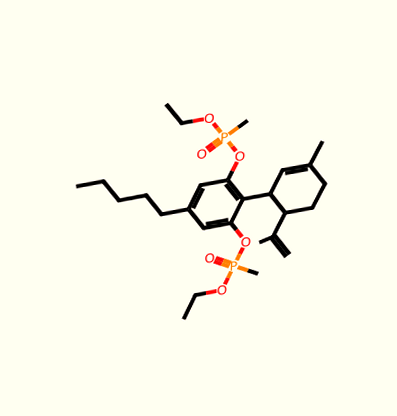 C=C(C)C1CCC(C)=CC1c1c(OP(C)(=O)OCC)cc(CCCCC)cc1OP(C)(=O)OCC